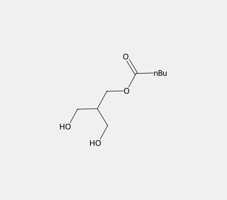 CCCCC(=O)OCC(CO)CO